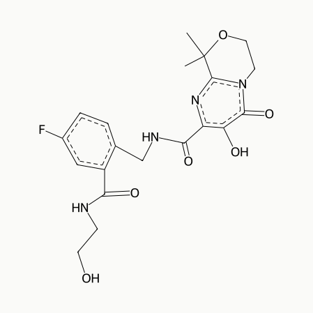 CC1(C)OCCn2c1nc(C(=O)NCc1ccc(F)cc1C(=O)NCCO)c(O)c2=O